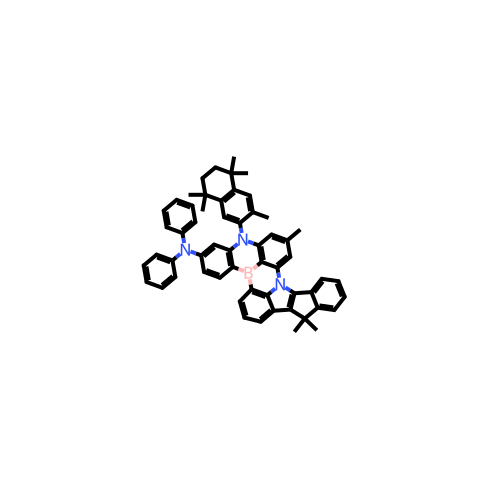 Cc1cc2c3c(c1)-n1c4c(c5cccc(c51)B3c1ccc(N(c3ccccc3)c3ccccc3)cc1N2c1cc2c(cc1C)C(C)(C)CCC2(C)C)C(C)(C)c1ccccc1-4